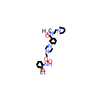 CCOc1ccccc1NC(=O)OCCN1CCN(c2cccc(C(=O)N(C)CCN3CCCCC3)c2)CC1